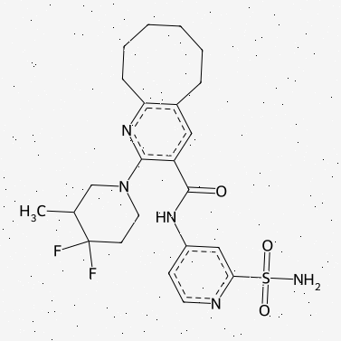 CC1CN(c2nc3c(cc2C(=O)Nc2ccnc(S(N)(=O)=O)c2)CCCCCC3)CCC1(F)F